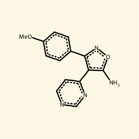 COc1ccc(-c2noc(N)c2-c2ccncn2)cc1